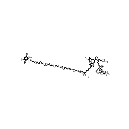 CCCN(CCCNC(=O)CC(C)(C)C)C(=O)C1=Cc2nn(CCCCCN(C)CCOCCOCCOCCOCCOCCOCCOCCOCCOCCOCCC(=O)Oc3c(F)c(F)cc(F)c3F)cc2N=C(N)C1